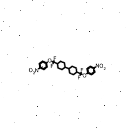 O=[N+]([O-])c1ccc(OC(F)(F)C2CCC(C3CCC(C(F)(F)Oc4ccc([N+](=O)[O-])cc4)CC3)CC2)cc1